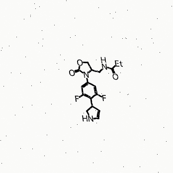 CCC(=O)NCC1COC(=O)N1c1cc(F)c(C2C=CNC2)c(F)c1